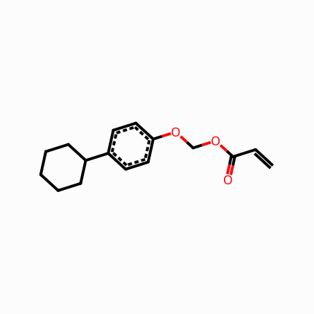 C=CC(=O)OCOc1ccc(C2CCCCC2)cc1